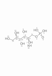 O=P(O)(O)OC[C@@H](O)[C@@H](O)[C@H](O)[C@H](O)CO.[KH]